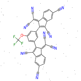 N#CC(C#N)=C1C(c2cc(OC(F)(F)F)cc(C3=C(C#N)c4cc(C#N)ccc4C3=C(C#N)C#N)c2)=C(C#N)c2cc(C#N)ccc21